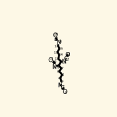 O=C=NCCCCCC(N=C=O)C(CCCCCN=C=O)N=C=O